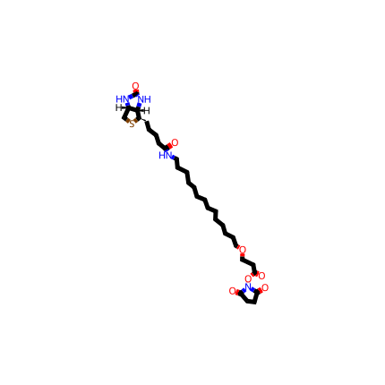 O=C(CCCC[C@@H]1SC[C@@H]2NC(=O)N[C@@H]21)NCCCCCCCCCCCCCCOCCC(=O)ON1C(=O)CCC1=O